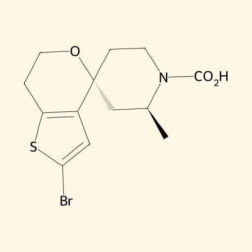 C[C@H]1C[C@@]2(CCN1C(=O)O)OCCc1sc(Br)cc12